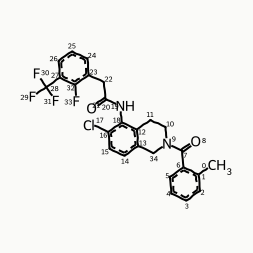 Cc1ccccc1C(=O)N1CCc2c(ccc(Cl)c2NC(=O)Cc2cccc(C(F)(F)F)c2F)C1